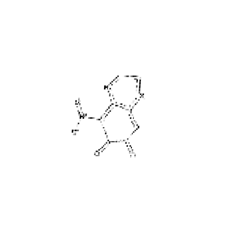 O=C1C=c2nccnc2=C([N+](=O)[O-])C1=O